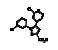 O=C(O)c1cc(-c2ccnc(Cl)c2)n(-c2cccc(Cl)c2)n1